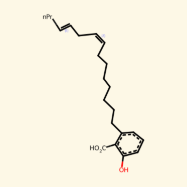 CCC/C=C/C/C=C\CCCCCCCc1cccc(O)c1C(=O)O